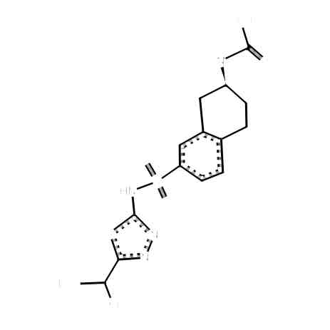 CC(=O)N[C@H]1CCc2ccc(S(=O)(=O)Nc3nnc(C(C)C)s3)cc2C1